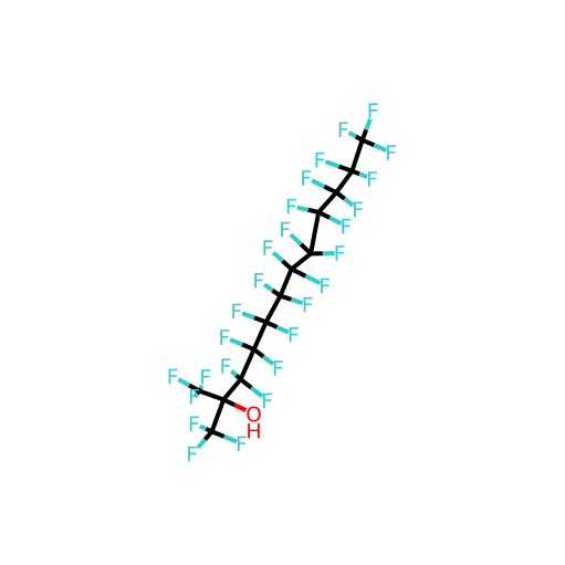 OC(C(F)(F)F)(C(F)(F)F)C(F)(F)C(F)(F)C(F)(F)C(F)(F)C(F)(F)C(F)(F)C(F)(F)C(F)(F)C(F)(F)C(F)(F)F